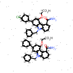 NC(=O)c1cccc2c1c1c(OCC(=O)O)cc(-c3ccc(Cl)cc3)cc1n2Cc1ccccc1.NC(=O)c1cccc2c1c1c(OCC(=O)O)cc(-c3ccccc3)cc1n2Cc1ccccc1